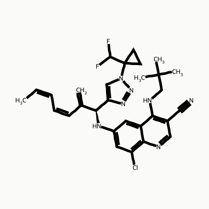 C=C(/C=C\C=C/C)[C@H](Nc1cc(Cl)c2ncc(C#N)c(NCC(C)(C)C)c2c1)c1cn(C2(C(F)F)CC2)nn1